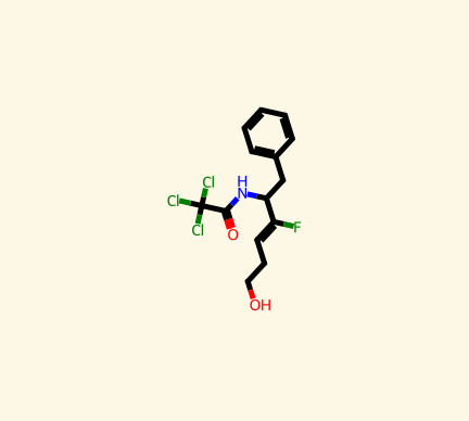 O=C(NC(Cc1ccccc1)/C(F)=C/CCO)C(Cl)(Cl)Cl